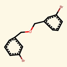 Brc1cccc(COCc2cccc(Br)c2)c1